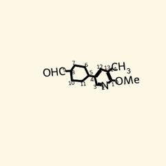 COc1ncc(C2CCC(C=O)CC2)cc1C